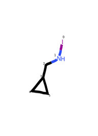 INCC1CC1